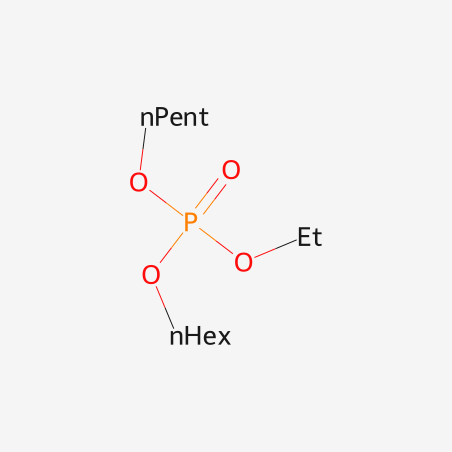 CCCCCCOP(=O)(OCC)OCCCCC